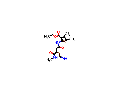 CCOC(=O)c1c(NC(=O)CC(SC=N)C(=O)NC)sc(C)c1C